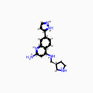 Nc1cc(NC[C@H]2CCNC2)c2ccc(-c3ccn[nH]3)cc2n1